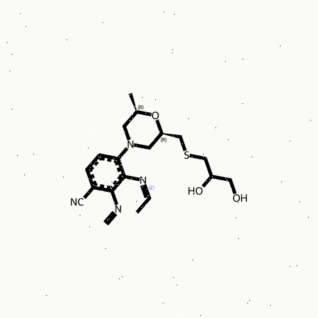 C=Nc1c(C#N)ccc(N2C[C@H](CSCC(O)CO)O[C@H](C)C2)c1/N=C\C